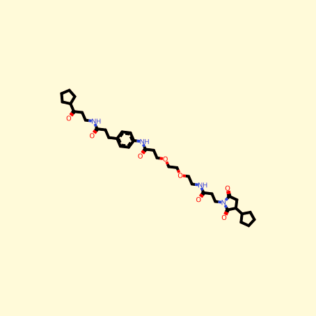 O=C(CCc1ccc(NC(=O)CCOCCOCCNC(=O)CCN2C(=O)CC(C3CCCC3)C2=O)cc1)NCCC(=O)C1CCCC1